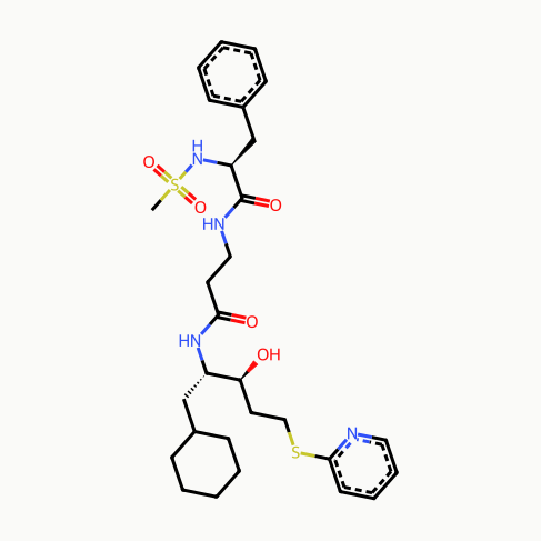 CS(=O)(=O)N[C@@H](Cc1ccccc1)C(=O)NCCC(=O)N[C@@H](CC1CCCCC1)[C@@H](O)CCSc1ccccn1